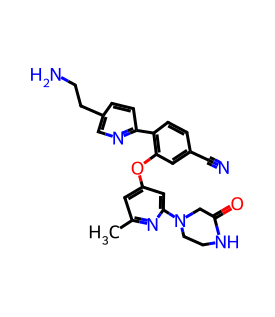 Cc1cc(Oc2cc(C#N)ccc2-c2ccc(CCN)cn2)cc(N2CCNC(=O)C2)n1